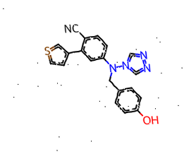 N#Cc1ccc(N(Cc2ccc(O)cc2)n2cnnc2)cc1-c1ccsc1